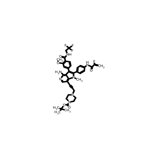 C=C(F)C(=O)Nc1ccc(-c2c(-c3ccc(C(=O)NCC(F)(F)F)c(OC)c3)c3c(N)ncc(C#CCN4CCN(C(=O)OC(C)(C)C)CC4)c3n2C)cc1